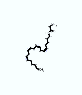 CCCCC/C=C\C/C=C\C/C=C\C/C=C\CCCCNC(=O)CN